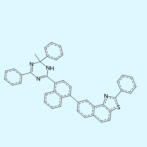 CC1(c2ccccc2)N=C(c2ccccc2)N=C(c2ccc(-c3ccc4ccc5sc(-c6ccccc6)nc5c4c3)c3ccccc23)N1